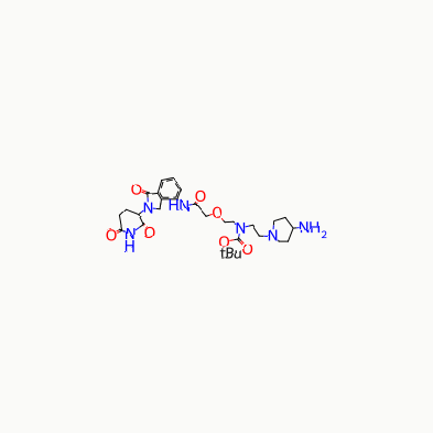 CC(C)(C)OC(=O)N(CCOCC(=O)Nc1cccc2c1CN(C1CCC(=O)NC1=O)C2=O)CCN1CCC(N)CC1